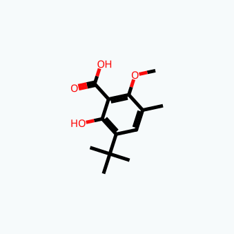 COc1c(C)cc(C(C)(C)C)c(O)c1C(=O)O